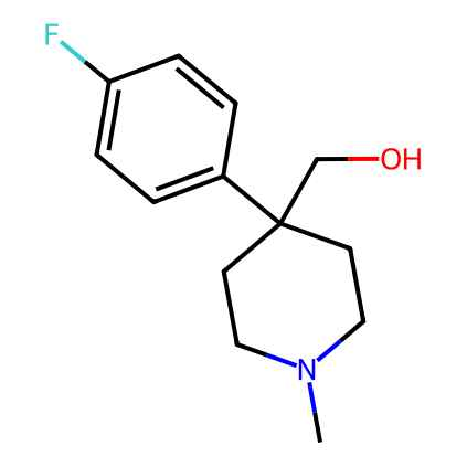 CN1CCC(CO)(c2ccc(F)cc2)CC1